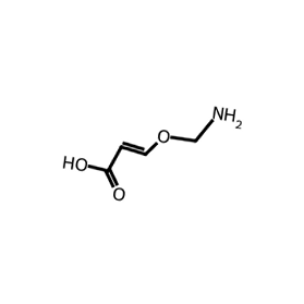 NCOC=CC(=O)O